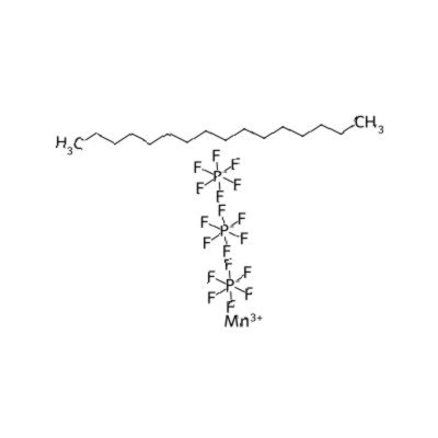 CCCCCCCCCCCCCCCC.F[P-](F)(F)(F)(F)F.F[P-](F)(F)(F)(F)F.F[P-](F)(F)(F)(F)F.[Mn+3]